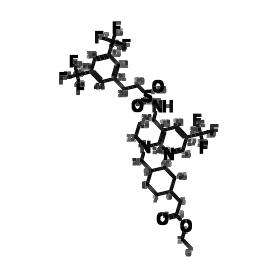 CCOC(=O)CC1CCC(CN(CC)c2ncc(C(F)(F)F)cc2CNS(=O)(=O)CCc2cc(C(F)(F)F)cc(C(F)(F)F)c2)CC1